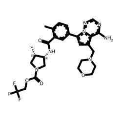 Cc1ccc(-c2cc(CN3CCOCC3)c3c(N)ncnn23)cc1C(=O)N[C@@H]1CN(C(=O)OCC(F)(F)F)C[C@@H]1F